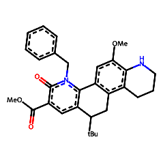 COC(=O)c1cc2c(n(Cc3ccccc3)c1=O)-c1cc(OC)c3c(c1CC2C(C)(C)C)CCCN3